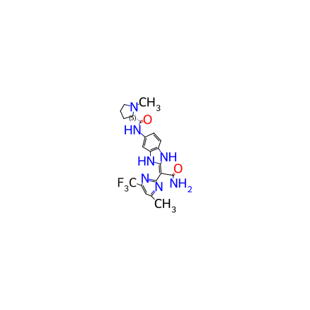 Cc1cc(C(F)(F)F)nc(C(C(N)=O)=C2Nc3ccc(NC(=O)[C@@H]4CCCN4C)cc3N2)n1